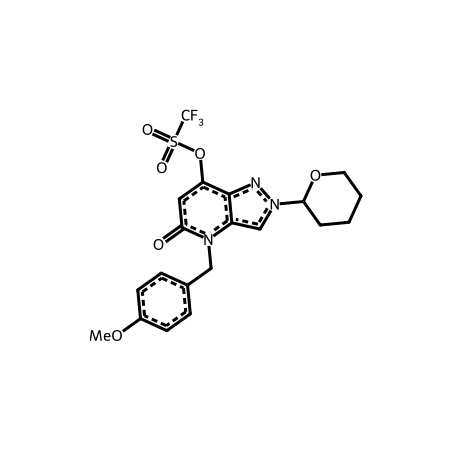 COc1ccc(Cn2c(=O)cc(OS(=O)(=O)C(F)(F)F)c3nn(C4CCCCO4)cc32)cc1